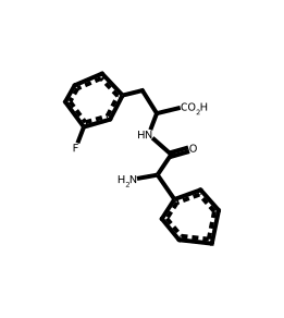 NC(C(=O)NC(Cc1cccc(F)c1)C(=O)O)c1ccccc1